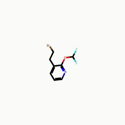 FC(F)Oc1ncccc1CCBr